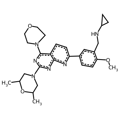 COc1ccc(-c2ccc3c(N4CCOCC4)nc(N4CC(C)OC(C)C4)nc3n2)cc1CNC1CC1